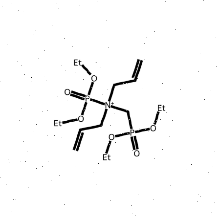 C=CC[N+](CC=C)(CP(=O)(OCC)OCC)P(=O)(OCC)OCC